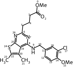 COC(=O)CCCc1nc(NCc2ccc(OC)c(Cl)c2)c2c(C)c(C)sc2n1